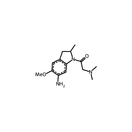 COc1cc2c(cc1N)N(C(=O)CN(C)C)C(C)C2